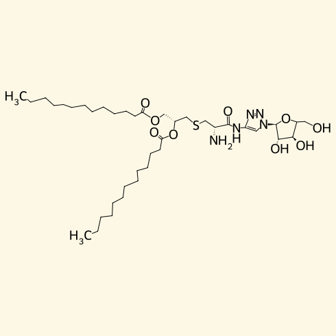 CCCCCCCCCCCCC(=O)OC[C@H](CSC[C@@H](N)C(=O)Nc1cn([C@H]2OC(CO)[C@@H](O)[C@@H]2O)nn1)OC(=O)CCCCCCCCCCCC